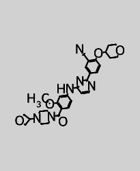 COc1cc(Nc2ccnc(-c3ccc(OC4CCOCC4)c(C#N)c3)n2)ccc1C(=O)N1CCN(C2COC2)CC1